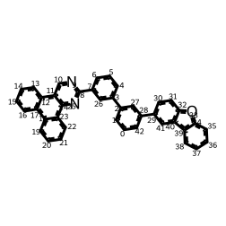 c1cc(-c2cccc(-c3ncc4c5ccccc5c5ccccc5c4n3)c2)cc(-c2ccc3oc4ccccc4c3c2)c1